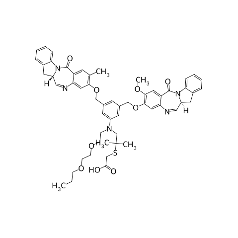 CCCOCCOCCN(CC(C)(C)SCC(=O)O)c1cc(COc2cc3c(cc2C)C(=O)N2c4ccccc4C[C@H]2C=N3)cc(COc2cc3c(cc2OC)C(=O)N2c4ccccc4C[C@H]2C=N3)c1